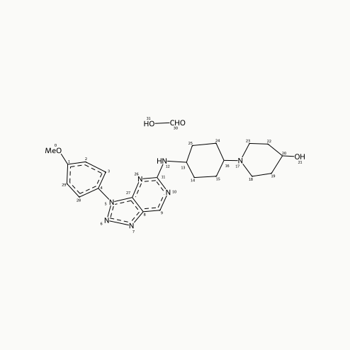 COc1ccc(-n2nnc3cnc(NC4CCC(N5CCC(O)CC5)CC4)nc32)cc1.O=CO